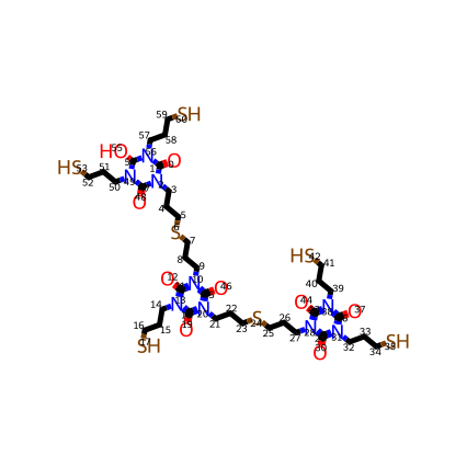 O=C1N(CCCSCCCn2c(=O)n(CCCS)c(=O)n(CCCSCCCn3c(=O)n(CCCS)c(=O)n(CCCS)c3=O)c2=O)C(=O)N(CCCS)C(O)N1CCCS